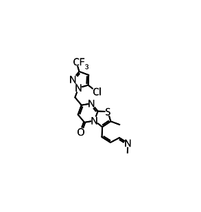 C/N=C\C=C/c1c(C)sc2nc(Cn3nc(C(F)(F)F)cc3Cl)cc(=O)n12